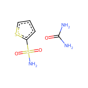 NC(N)=O.NS(=O)(=O)c1cccs1